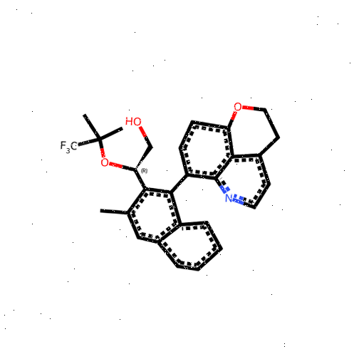 Cc1cc2ccccc2c(-c2ccc3c4c(ccnc24)CCO3)c1[C@H](CO)OC(C)(C)C(F)(F)F